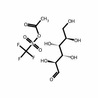 CC(=O)OS(=O)(=O)C(F)(F)F.O=C[C@@H](O)[C@@H](O)[C@H](O)[C@H](O)CO